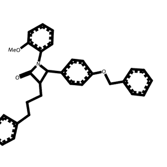 COc1ccccc1N1C(=O)C(CCCc2ccccc2)C1c1ccc(OCc2ccccc2)cc1